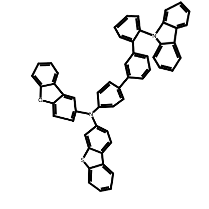 c1cc(-c2ccc(N(c3ccc4c(c3)sc3ccccc34)c3ccc4oc5ccccc5c4c3)cc2)cc(-c2ccccc2-n2c3ccccc3c3ccccc32)c1